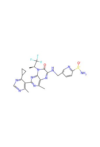 Cc1ncnc(C2CC2)c1-c1nc(C)c2nc(NCc3ccc([S+](N)[O-])nc3)c(=O)n([C@@H](C)C(F)(F)F)c2n1